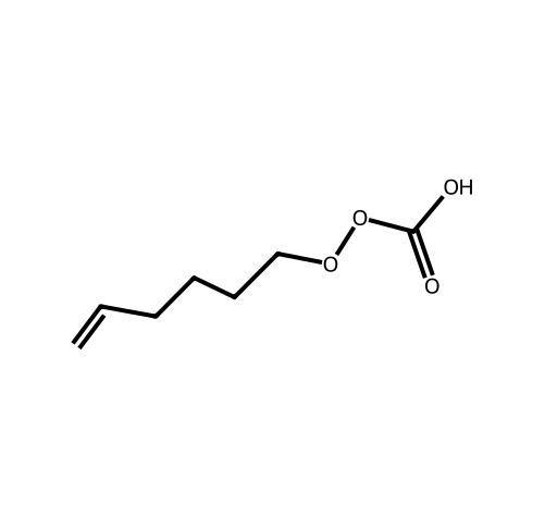 C=CCCCCOOC(=O)O